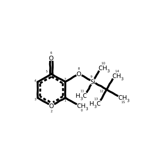 Cc1occc(=O)c1O[Si](C)(C)C(C)(C)C